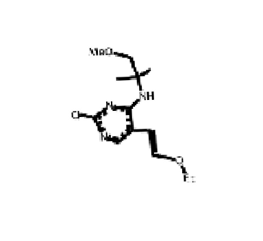 CCO/C=C/c1cnc(Cl)nc1NC(C)(C)COC